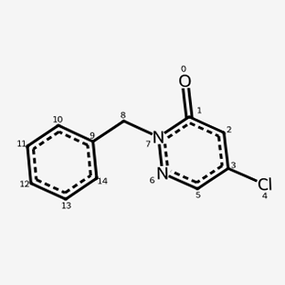 O=c1cc(Cl)cnn1Cc1ccccc1